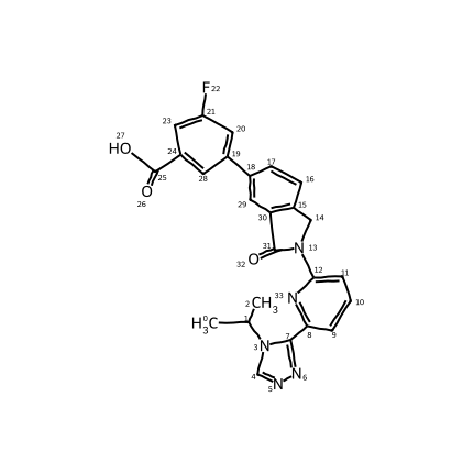 CC(C)n1cnnc1-c1cccc(N2Cc3ccc(-c4cc(F)cc(C(=O)O)c4)cc3C2=O)n1